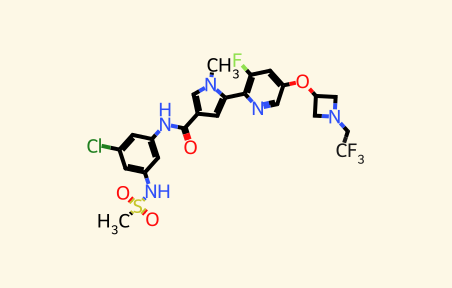 Cn1cc(C(=O)Nc2cc(Cl)cc(NS(C)(=O)=O)c2)cc1-c1ncc(OC2CN(CC(F)(F)F)C2)cc1F